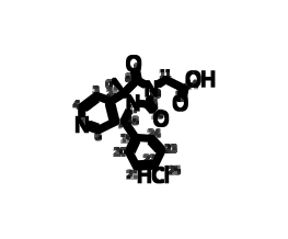 C[C@@]1(c2ccncc2)C(=O)N(CC(=O)O)C(=O)N1Cc1ccccc1.Cl